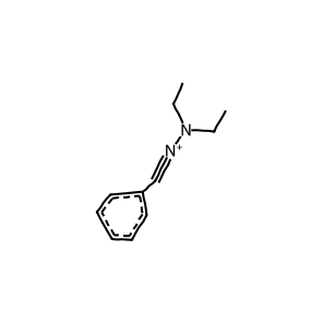 CCN(CC)[N+]#Cc1ccccc1